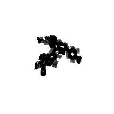 NS(=O)(=O)c1ccc(-c2ccc(F)cc2)nc1CC1CCC2(C1)NC(=O)NC2=O